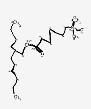 CCCCCCC(CCCC)COC(=O)CCCCC[N+](C)(C)[O-]